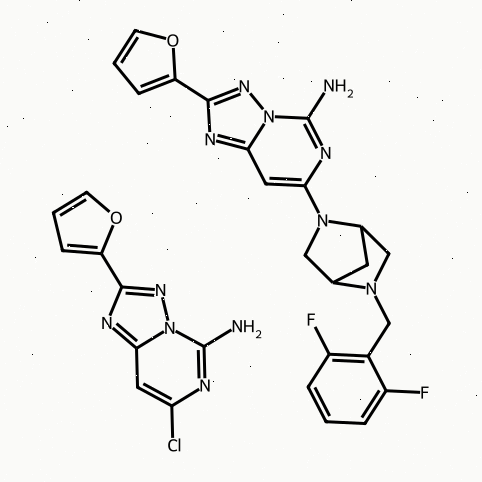 Nc1nc(Cl)cc2nc(-c3ccco3)nn12.Nc1nc(N2CC3CC2CN3Cc2c(F)cccc2F)cc2nc(-c3ccco3)nn12